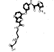 Cc1ccoc1C(=O)Nc1cccc(Oc2ccnc3cc(C(=O)NCCCNCC(=O)O)sc23)c1